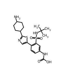 CC(C)(C)NS(=O)(=O)c1cc(NC(=O)O)ccc1-c1cnc(C2CCC(N)CC2)s1